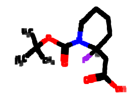 CC(C)(C)OC(=O)N1CCCC[C@]1(I)CC(=O)O